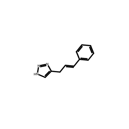 C(=Cc1ccccc1)Cc1c[nH]nn1